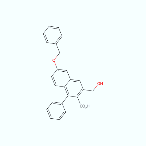 O=C(O)c1c(CO)cc2cc(OCc3ccccc3)ccc2c1-c1ccccc1